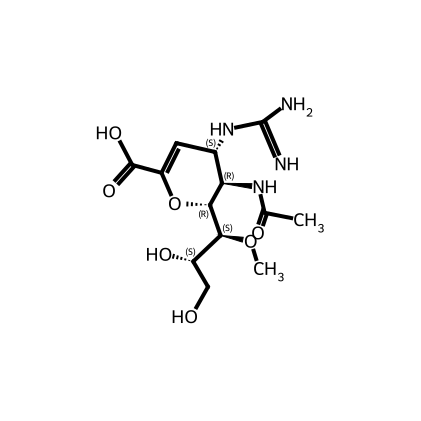 CO[C@H]([C@@H]1OC(C(=O)O)=C[C@H](NC(=N)N)[C@H]1NC(C)=O)[C@@H](O)CO